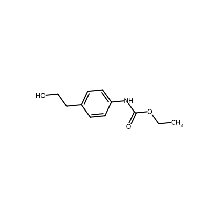 CCOC(=O)Nc1ccc(CCO)cc1